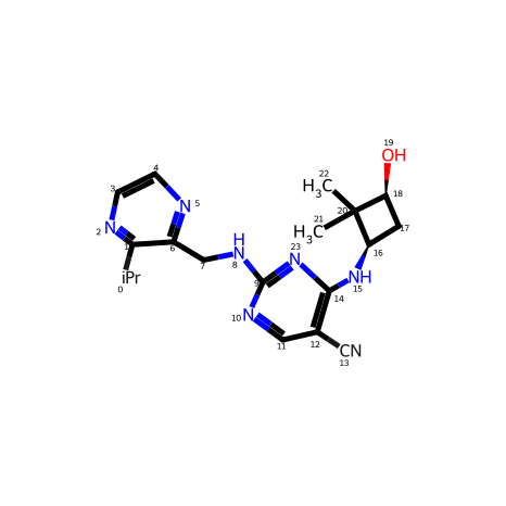 CC(C)c1nccnc1CNc1ncc(C#N)c(N[C@@H]2C[C@H](O)C2(C)C)n1